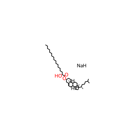 CCCCCCCCCCCCCCCCC(O)C(=O)O[C@H]1CC[C@@]2(C)C(=CC[C@H]3[C@@H]4CC[C@H]([C@H](C)CCCC(C)C)[C@@]4(C)CC[C@@H]32)C1.[NaH]